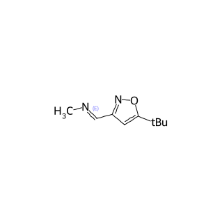 C/N=C/c1cc(C(C)(C)C)on1